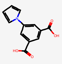 O=C(O)c1cc(C(=O)O)cc(-n2cccc2)c1